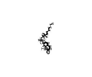 CCCCCCCC(C)(C)C(C)(C)CC(C)(C)Oc1ccc2ccc(=O)[nH]c2c1